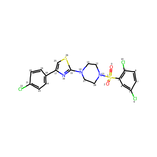 O=S(=O)(c1cc(Cl)ccc1Cl)N1CCN(c2nc(-c3ccc(Cl)cc3)cs2)CC1